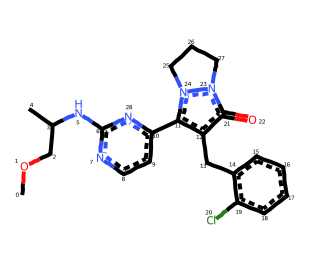 COCC(C)Nc1nccc(-c2c(Cc3ccccc3Cl)c(=O)n3n2CCC3)n1